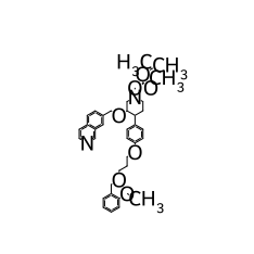 COc1ccccc1COCCCOc1ccc(C2CCN(OC(=O)OC(C)(C)C)CC2OCc2ccc3ccncc3c2)cc1